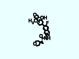 C[C@@]1(N2CCC(c3cc4cc(NC(=O)[C@@H]5CC56CCOCC6)ncc4cc3F)CC2)COC[C@@H]1O